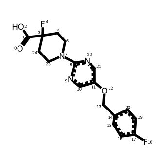 O=C(O)C1(F)CCN(c2ncc(OCc3ccc(F)cc3)cn2)CC1